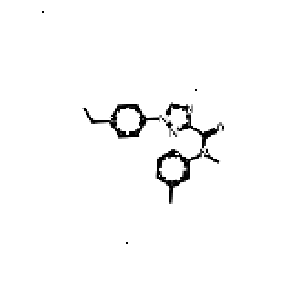 CCc1ccc(-n2cnc(C(=O)N(C)c3cccc(C)c3)n2)cc1